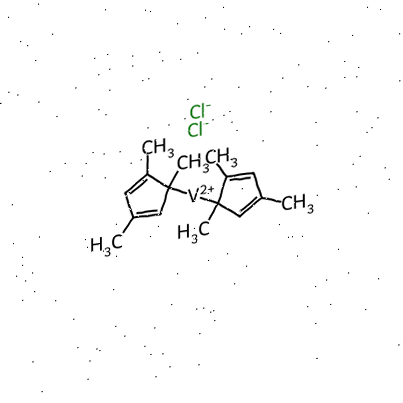 CC1=C[C](C)([V+2][C]2(C)C=C(C)C=C2C)C(C)=C1.[Cl-].[Cl-]